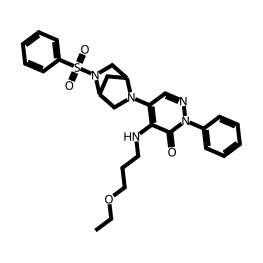 CCOCCCNc1c(N2CC3CC2CN3S(=O)(=O)c2ccccc2)cnn(-c2ccccc2)c1=O